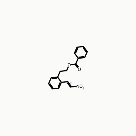 O=C(OCCc1ccccc1/C=C/[N+](=O)[O-])c1ccccc1